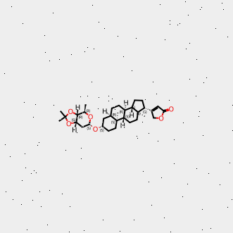 C[C@H]1O[C@H](O[C@H]2CC[C@@]3(C)[C@H](CC[C@@H]4[C@@H]3CC[C@]3(C)[C@@H](C5=CC(=O)OC5)CC[C@@H]43)C2)C[C@@H]2OC(C)(C)O[C@@H]21